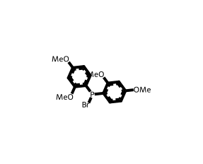 COc1ccc(P(Br)c2ccc(OC)cc2OC)c(OC)c1